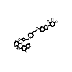 O=C1CCC(N2Cc3ccc(OCCC4CCN(CC5CC(Oc6ccnc(Nc7cc(F)c8cnccc8c7)c6F)C5)CC4)cc3C2)C(=O)N1